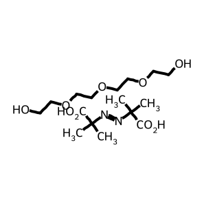 CC(C)(N=NC(C)(C)C(=O)O)C(=O)O.OCCOCCOCCOCCO